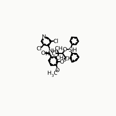 COc1ccc(C(=O)Nc2c(Cl)cncc2Cl)cc1OC(C)C(O[SiH](c1ccccc1)c1ccccc1)C(C)(C)C